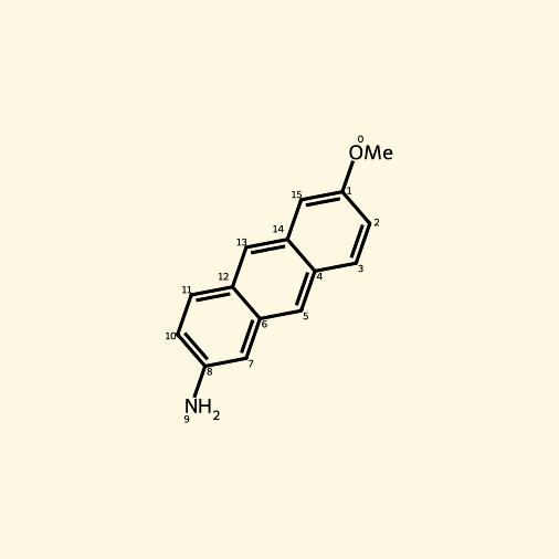 COc1ccc2cc3cc(N)ccc3cc2c1